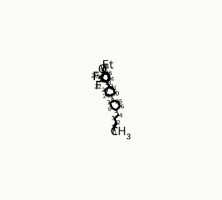 CC=CCC[C@H]1CC[C@H](C2CC=C(c3ccc(OCC)c(F)c3F)CC2)CC1